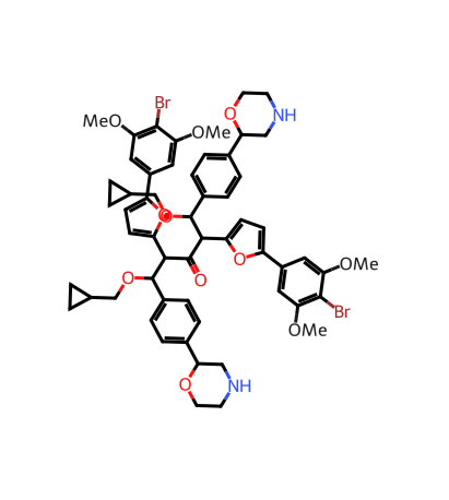 COc1cc(-c2ccc(C(C(=O)C(c3ccc(-c4cc(OC)c(Br)c(OC)c4)o3)C(OCC3CC3)c3ccc(C4CNCCO4)cc3)C(OCC3CC3)c3ccc(C4CNCCO4)cc3)o2)cc(OC)c1Br